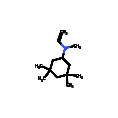 C=CN(C)C1CC(C)(C)CC(C)(C)C1